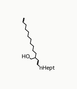 C=CCCCCCCCCCC(C=CCCCCCCC)CO